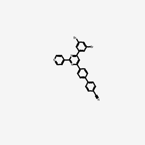 N#Cc1ccc(-c2ccc(-c3cc(-c4cc(Br)cc(Br)c4)nc(-c4ccncc4)n3)cc2)cc1